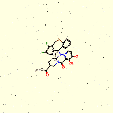 COC(=O)C1CC[C@@H]2N(C1)C(=O)c1c(O)c(=O)ccn1N2[C@@H]1c2ccccc2SCc2c1ccc(F)c2F